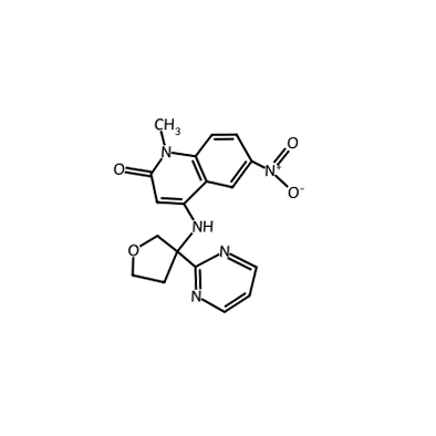 Cn1c(=O)cc(NC2(c3ncccn3)CCOC2)c2cc([N+](=O)[O-])ccc21